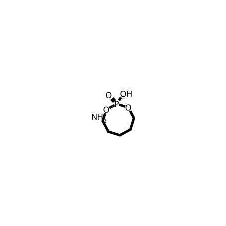 N.O=P1(O)OCCCCCO1